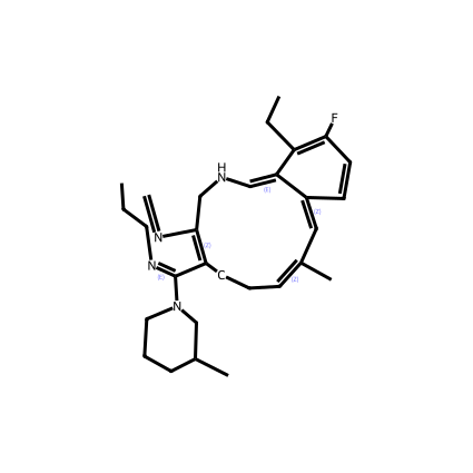 C=N/C1=C(\C(=N/CCC)N2CCCC(C)C2)CC\C=C(C)/C=c2/ccc(F)c(CC)/c2=C\NC1